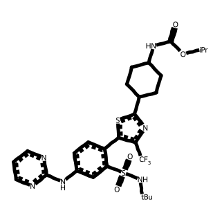 CC(C)OC(=O)NC1CCC(c2nc(C(F)(F)F)c(-c3ccc(Nc4ncccn4)cc3S(=O)(=O)NC(C)(C)C)s2)CC1